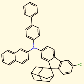 Clc1ccc2c(c1)-c1ccc(N(c3ccc(-c4ccccc4)cc3)c3ccc4ccccc4c3)cc1C21C2CC3CC(C2)CC1C3